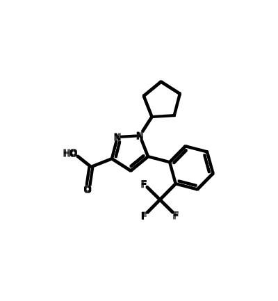 O=C(O)c1cc(-c2ccccc2C(F)(F)F)n(C2CCCC2)n1